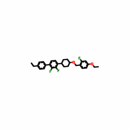 CCOc1ccc(COC2CCC(c3ccc(-c4ccc(CC)cc4)c(F)c3F)CC2)c(F)c1